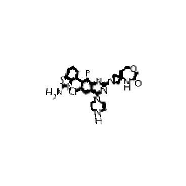 Nc1nc2c(-c3c(Cl)cc4c(N5CCNCC5)nc(N5CC6(CCOCC(=O)N6)C5)nc4c3F)cccc2s1